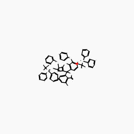 Cc1cccc2c1C(=O)OC21c2ccc(O[Si](c3ccccc3)(c3ccccc3)C(C)(C)C)c(Nc3ccccc3)c2Oc2c1ccc(O[Si](c1ccccc1)(c1ccccc1)C(C)(C)C)c2Nc1ccccc1